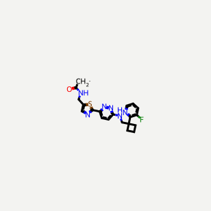 [CH2]C(=O)NCc1cnc(-c2ccc(NCC3(c4ncccc4F)CCC3)nn2)s1